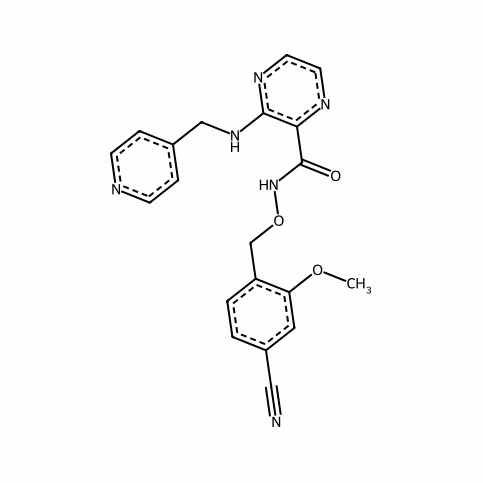 COc1cc(C#N)ccc1CONC(=O)c1nccnc1NCc1ccncc1